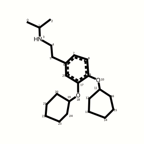 CC(C)NCCc1ccc(OC2CCCCC2)c(OC2CCCCC2)c1